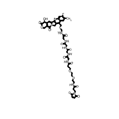 Cc1cc2c(CSCNC(=O)CNC(=O)CNC(=O)CNC(=O)CNC(=O)CCOCCOCCNC(=O)CCN3C(=O)C=CC3=O)c3c(nc2cc1F)-c1cc2c(c(=O)n1C3)COC(=O)[C@H]2O